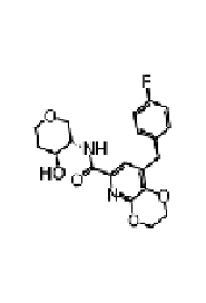 O=C(N[C@H]1COCC[C@@H]1O)c1cc(Cc2ccc(F)cc2)c2c(n1)OCCO2